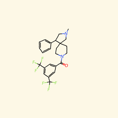 CN1CC(c2ccccc2)C2(CCN(C(=O)c3cc(C(F)(F)F)cc(C(F)(F)F)c3)CC2)C1